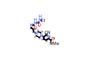 CCNC(=O)Nc1ncc(CN2CCN(c3ccc(C(=O)NC)nc3C#N)CC2)o1